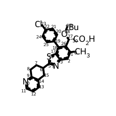 Cc1cc2nc(C3CCc4ncccc4C3)sc2c(-c2ccc(Cl)cc2)c1[C@H](OC(C)(C)C)C(=O)O